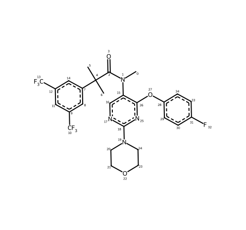 CN(C(=O)C(C)(C)c1cc(C(F)(F)F)cc(C(F)(F)F)c1)c1cnc(N2CCOCC2)nc1Oc1ccc(F)cc1